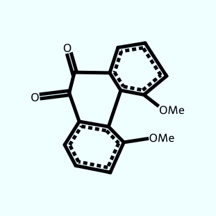 COc1cccc2c1-c1c(OC)cccc1C(=O)C2=O